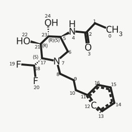 CCC(=O)N[C@H]1CN(CCCc2ccccc2)[C@H](C(F)F)[C@@H](O)[C@@H]1O